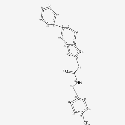 O=C(Cc1nc2ccc(-c3ccccc3)cc2s1)NCc1ccc(C(F)(F)F)cc1